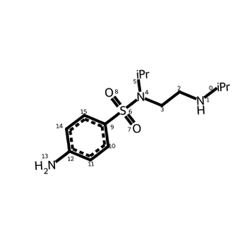 CC(C)NCCN(C(C)C)S(=O)(=O)c1ccc(N)cc1